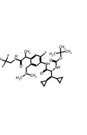 CC(C(=O)NCC(F)(F)F)c1cc(F)c(NC(=O)[C@@H](NC(=O)OC(C)(C)C)C(=C2CC2)C2CC2)cc1CN(C)C